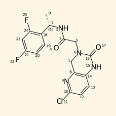 C[C@H](NC(=O)CN1Cc2nc(Cl)ccc2NC1=O)c1ccc(F)cc1F